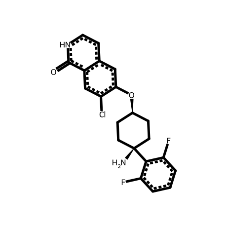 N[C@]1(c2c(F)cccc2F)CC[C@H](Oc2cc3cc[nH]c(=O)c3cc2Cl)CC1